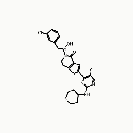 O=C1c2cc(-c3nc(NC4CCOCC4)ncc3Cl)oc2CCN1[C@@H](O)[CH]c1cccc(Cl)c1